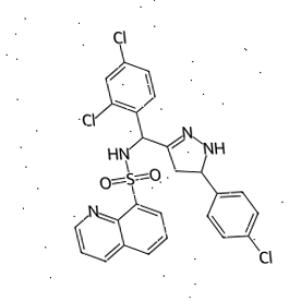 O=S(=O)(NC(C1=NNC(c2ccc(Cl)cc2)C1)c1ccc(Cl)cc1Cl)c1cccc2cccnc12